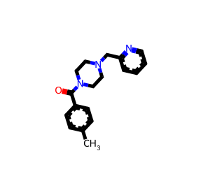 Cc1ccc(C(=O)N2CCN(Cc3ccccn3)CC2)cc1